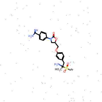 CCCS(=O)(=O)C(N)(Cc1ccc(OCC2CN(c3ccc(C(=N)N)cc3)C(=O)O2)cc1)C(=O)O